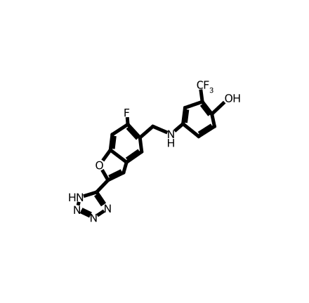 Oc1ccc(NCc2cc3cc(-c4nnn[nH]4)oc3cc2F)cc1C(F)(F)F